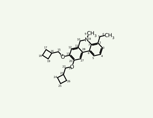 CCc1cccc2c1N(C)Cc1cc(OCC3CCC3)c(OCC3CCC3)cc1-2